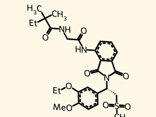 CCOc1cc([C@@H](CS(C)(=O)=O)N2C(=O)c3cccc(NC(=O)CNC(=O)C(C)(C)CC)c3C2=O)ccc1OC